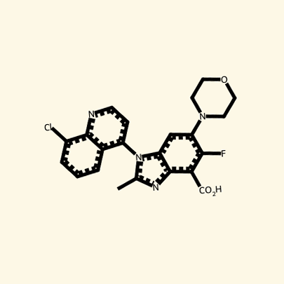 Cc1nc2c(C(=O)O)c(F)c(N3CCOCC3)cc2n1-c1ccnc2c(Cl)cccc12